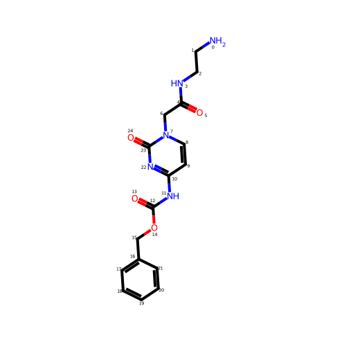 NCCNC(=O)Cn1ccc(NC(=O)OCc2ccccc2)nc1=O